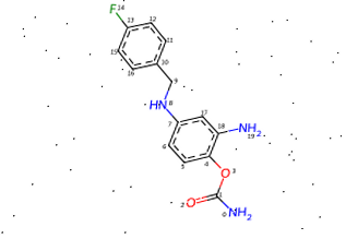 NC(=O)Oc1ccc(NCc2ccc(F)cc2)cc1N